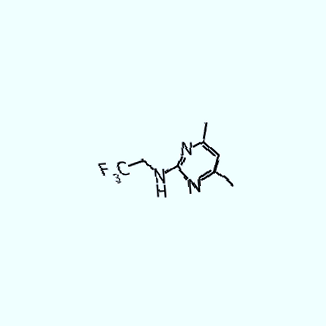 Cc1cc(C)nc(NCC(F)(F)F)n1